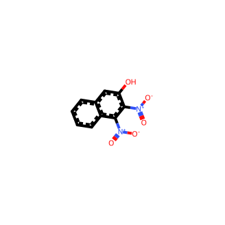 O=[N+]([O-])c1c(O)cc2ccccc2c1[N+](=O)[O-]